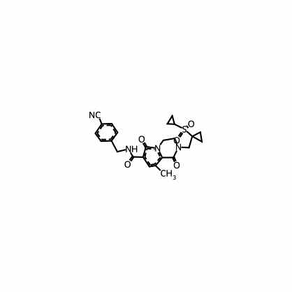 Cc1cc(C(=O)NCc2ccc(C#N)cc2)c(=O)n2c1C(=O)N(CC1(S(=O)(=O)C3CC3)CC1)CC2